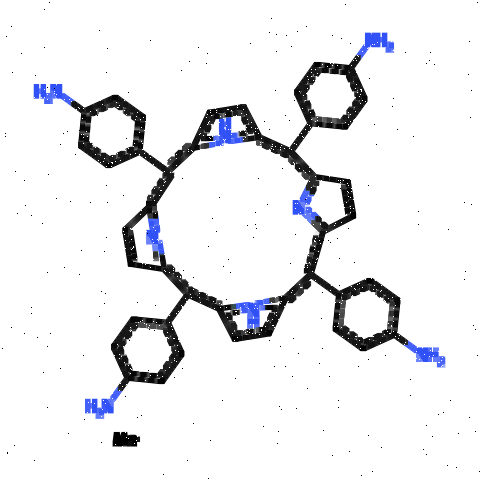 Nc1ccc(-c2c3nc(c(-c4ccc(N)cc4)c4ccc([nH]4)c(-c4ccc(N)cc4)c4nc(c(-c5ccc(N)cc5)c5ccc2[nH]5)C=C4)C=C3)cc1.[Mn]